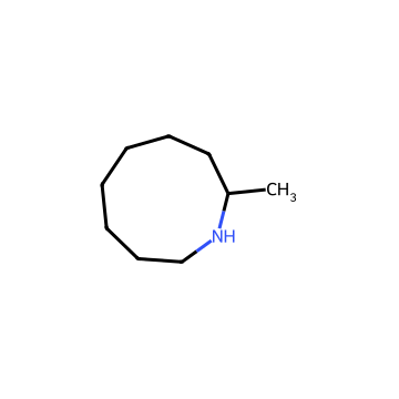 CC1CCCCCCCN1